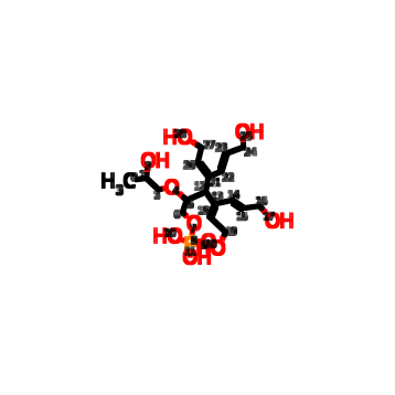 CC(O)COC(COP(=O)(O)O)C(C(C=CCO)=CCO)C(C=CCO)=CCO